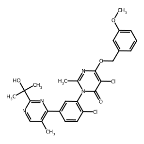 COc1cccc(COc2nc(C)n(-c3cc(-c4nc(C(C)(C)O)ncc4C)ccc3Cl)c(=O)c2Cl)c1